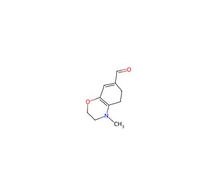 CN1CCOC2=C1CCC(C=O)=C2